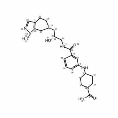 CC(=O)N1CCC(Nc2cc(C(=O)NC[C@H](O)CN3CCc4cnn(C)c4C3)ccn2)CC1